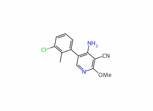 COc1ncc(-c2cccc(Cl)c2C)c(N)c1C#N